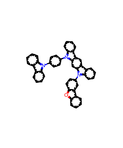 c1ccc2c(c1)oc1ccc(-n3c4ccccc4c4cc5c6ccccc6n(-c6ccc(-n7c8ccccc8c8ccccc87)cc6)c5cc43)cc12